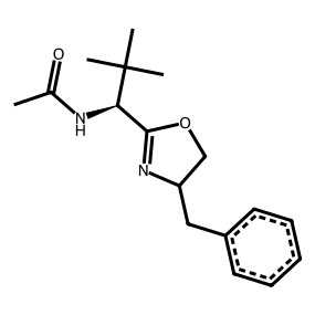 CC(=O)N[C@H](C1=NC(Cc2ccccc2)CO1)C(C)(C)C